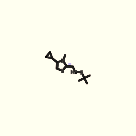 CN1C(C2CC2)=CS/C1=C\NSC(C)(C)C